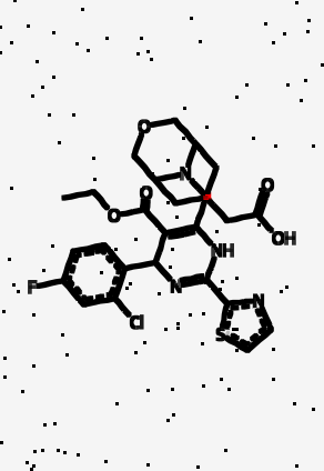 CCOC(=O)C1=C(CN2C3COCC2CC(CC(=O)O)C3)NC(c2nccs2)=NC1c1ccc(F)cc1Cl